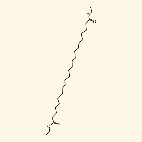 CCOC(=O)CCCCCCCCCCCCCCCCCCCCCC(=O)OCC